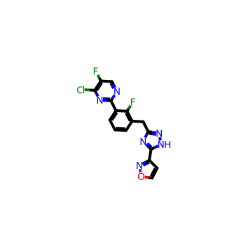 Fc1cnc(-c2cccc(Cc3n[nH]c(-c4ccon4)n3)c2F)nc1Cl